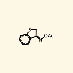 CC(=O)O/N=C1\CSc2ccccc21